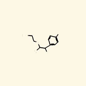 NC(NCCO)C(O)c1ccc(O)cc1